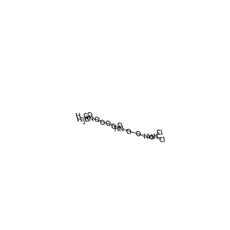 C=C(C)C(=O)NCCOCCOCCOCCOCCC(=O)NCCCOCCCCOCCCNCc1ccc(N(CCCl)CCCl)cc1